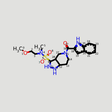 COCCN(C)S(=O)(=O)C1NNC2CCN(C(=O)c3cc4ccccc4[nH]3)CC21